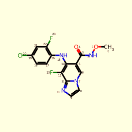 CONC(=O)c1cn2ccnc2c(F)c1Nc1ccc(Cl)cc1F